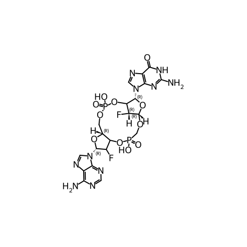 Nc1nc2c(ncn2[C@@H]2O[C@@H]3OCP(=O)(O)OC4C(F)[C@H](n5cnc6c(N)ncnc65)O[C@@H]4COP(=O)(O)OC2[C@H]3F)c(=O)[nH]1